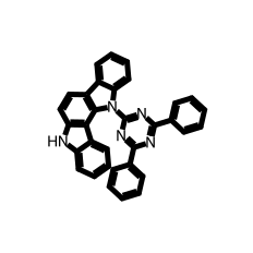 c1ccc(-c2nc(-c3ccccc3)nc(-n3c4ccccc4c4ccc5[nH]c6ccccc6c5c43)n2)cc1